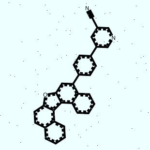 N#Cc1cncc(-c2ccc(-c3cc4oc5ccc6ccccc6c5c4c4ccccc34)cc2)c1